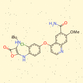 CCC(C)NC1=C(Nc2ccc(Oc3ccnc4cc(OC)c(C(N)=O)cc34)cc2Cl)OC1=O